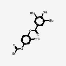 CCC(=O)Oc1ccc(OC(=O)c2cc(C(C)(C)C)c(O)c(C(C)(C)C)c2)c(C(C)(C)C)c1